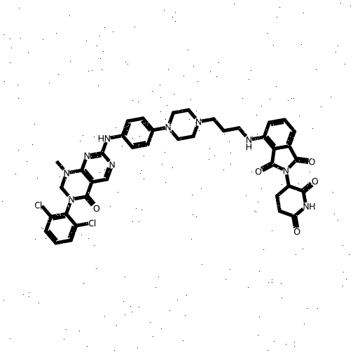 CN1CN(c2c(Cl)cccc2Cl)C(=O)c2cnc(Nc3ccc(N4CCN(CCCNc5cccc6c5C(=O)N(C5CCC(=O)NC5=O)C6=O)CC4)cc3)nc21